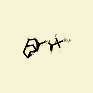 O=C(NC1CCC2CC3CC(C2)CC1C3)C(F)(F)S(=O)(=O)O